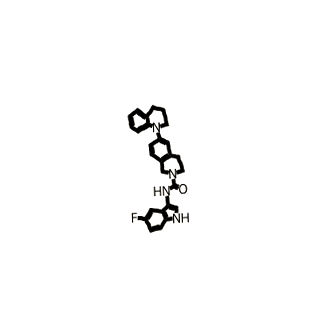 O=C(Nc1c[nH]c2ccc(F)cc12)N1CCc2cc(N3CCCc4ccccc43)ccc2C1